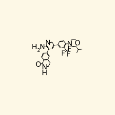 CC(C)[C@H]1CN(c2ccc(-c3cnc(N)c(-c4ccc5c(c4)CCNC5=O)c3)cc2C(F)(F)F)CCO1